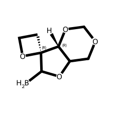 BC1OC2COCO[C@H]2[C@@]12CCO2